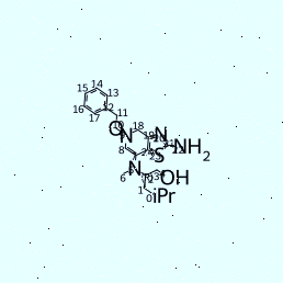 CC(C)C[C@H](CO)N(C)C1=CN(OCc2ccccc2)Cc2nc(N)sc21